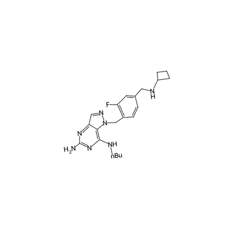 CCCCNc1nc(N)nc2cnn(Cc3ccc(CNC4CCC4)cc3F)c12